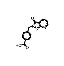 O=C(O)c1ccc(Cn2sc3ncccc3c2=O)cc1